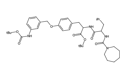 CC(C)CC(NC(=O)N1CCCCCC1)C(=O)NC(Cc1ccc(OCc2cccc(NC(=O)OC(C)(C)C)c2)cc1)C(=O)OC(C)(C)C